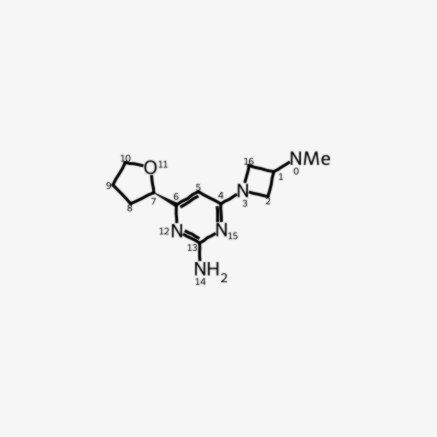 CNC1CN(c2cc([C@H]3CCCO3)nc(N)n2)C1